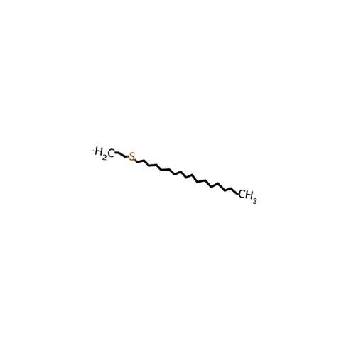 [CH2]CCSCCCCCCCCCCCCCCCCCC